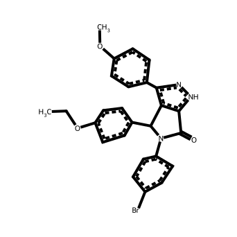 CCOc1ccc(C2c3c(-c4ccc(OC)cc4)n[nH]c3C(=O)N2c2ccc(Br)cc2)cc1